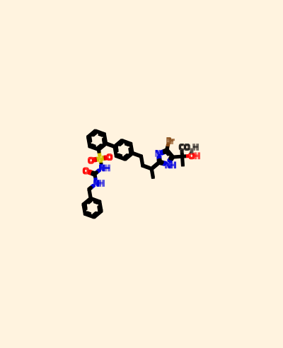 CC(CCc1ccc(-c2ccccc2S(=O)(=O)NC(=O)NCc2ccccc2)cc1)c1nc(Br)c(C(C)(O)C(=O)O)[nH]1